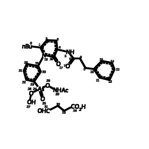 CCCCc1ccc(NC(=O)CCc2ccccc2)c(=O)n1-c1cccc([As](=O)(OO)ONC(C)=O)c1.O=CCCC(=O)O